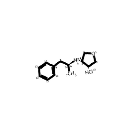 C1CCOC1.CN[C@@H](C)Cc1ccccc1.Cl